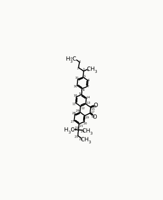 CCCC(C)c1ccc(-c2ccc3c(c2)C(=O)C(=O)c2cc(C(C)(C)CC)ccc2-3)cc1